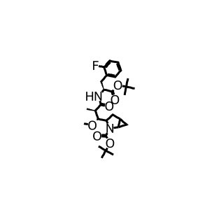 CO[C@@H](C1CC2CC2N1C(=O)OC(C)(C)C)[C@@H](C)C(=O)N[C@@H](Cc1ccccc1F)C(=O)OC(C)(C)C